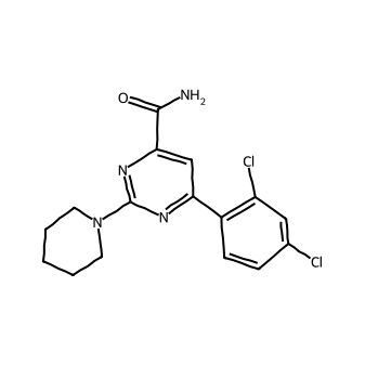 NC(=O)c1cc(-c2ccc(Cl)cc2Cl)nc(N2CCCCC2)n1